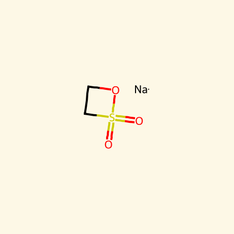 O=S1(=O)CCO1.[Na]